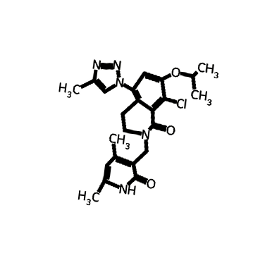 Cc1cn(-c2cc(OC(C)C)c(Cl)c3c2CCN(Cc2c(C)cc(C)[nH]c2=O)C3=O)nn1